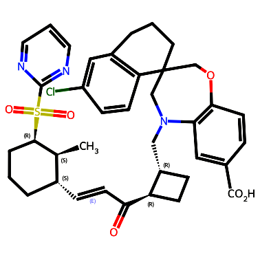 C[C@H]1[C@H](/C=C/C(=O)[C@@H]2CC[C@H]2CN2CC3(CCCc4cc(Cl)ccc43)COc3ccc(C(=O)O)cc32)CCC[C@H]1S(=O)(=O)c1ncccn1